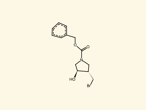 O=C(OCc1ccccc1)N1C[C@H](CBr)[C@@H](O)C1